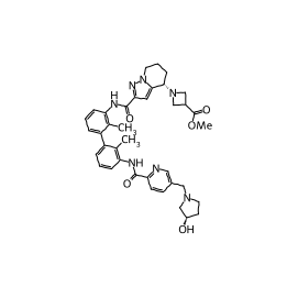 COC(=O)C1CN([C@H]2CCCn3nc(C(=O)Nc4cccc(-c5cccc(NC(=O)c6ccc(CN7CC[C@@H](O)C7)cn6)c5C)c4C)cc32)C1